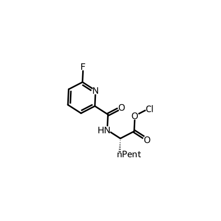 CCCCC[C@H](NC(=O)c1cccc(F)n1)C(=O)OCl